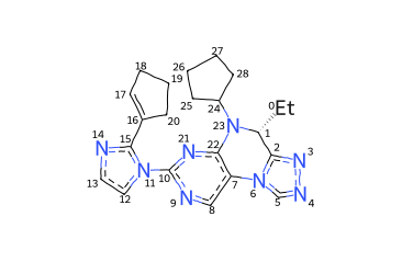 CC[C@@H]1c2nncn2-c2cnc(-n3ccnc3C3=CCCC3)nc2N1C1CCCC1